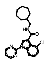 O=C(NCC1CCCCCC1)c1cn(-c2ncccn2)c2cccc(Cl)c12